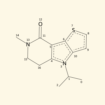 CC(C)n1c2c(c3sccc31)C(=O)N(C)CC2